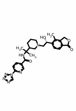 Cc1c([C@@H](O)CN2CCCC(C(C)(C)NC(=O)c3ccc(-n4cnnn4)nc3)C2)ccc2c1COC2=O